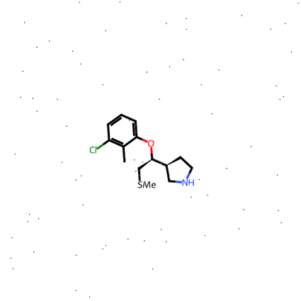 CSC[C@@H](Oc1cccc(Cl)c1C)[C@H]1CCNC1